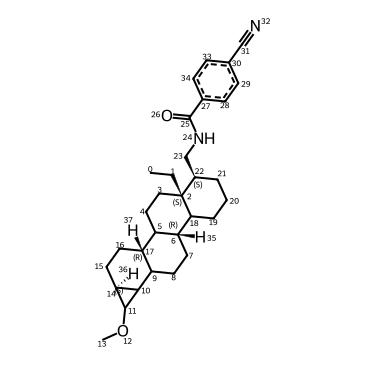 CC[C@]12CCC3[C@@H](CCC4C5C(OC)[C@H]5CC[C@@H]43)C1CCC[C@@H]2CNC(=O)c1ccc(C#N)cc1